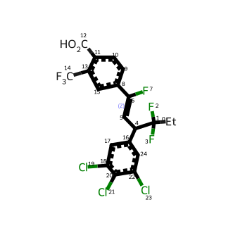 CCC(F)(F)C(/C=C(\F)c1ccc(C(=O)O)c(C(F)(F)F)c1)c1cc(Cl)c(Cl)c(Cl)c1